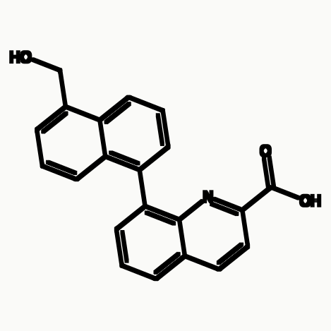 O=C(O)c1ccc2cccc(-c3cccc4c(CO)cccc34)c2n1